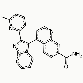 Cc1cccc(-c2nn3ccccc3c2-c2ccnc3cc(C(N)=O)ccc23)n1